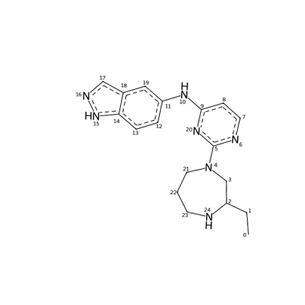 CCC1CN(c2nccc(Nc3ccc4[nH]ncc4c3)n2)CCCN1